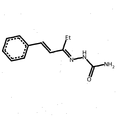 CCC(/C=C/c1ccccc1)=N\NC(N)=O